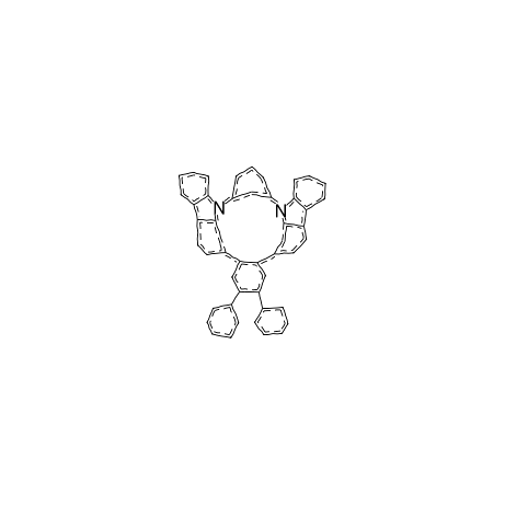 c1ccc(-c2cc3c4ccc5c6ccccc6n(c6cccc(c6)n6c7ccccc7c7ccc(cc76)c3cc2-c2ccccc2)c5c4)cc1